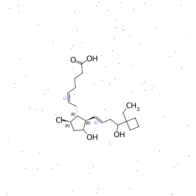 CCC1(C(O)C/C=C/[C@H]2C(O)C[C@@H](Cl)[C@@H]2C/C=C\CCCC(=O)O)CCC1